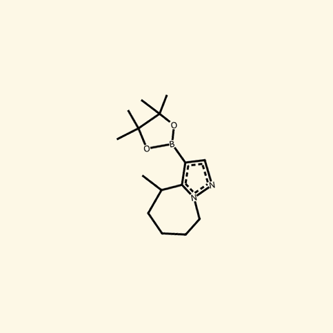 CC1CCCCn2ncc(B3OC(C)(C)C(C)(C)O3)c21